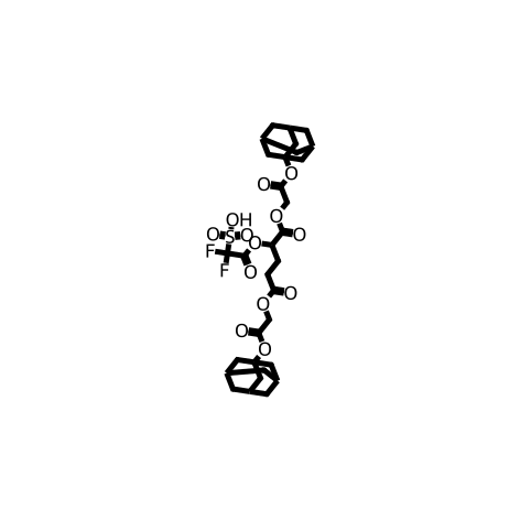 O=C(CCC(OC(=O)C(F)(F)S(=O)(=O)O)C(=O)OCC(=O)OC12CC3CC(CC(C3)C1)C2)OCC(=O)OC12CC3CC(CC(C3)C1)C2